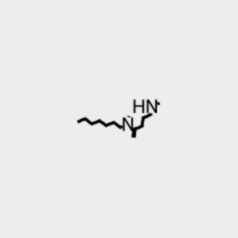 C=C(CCCNC)N(C)CCCCCCC